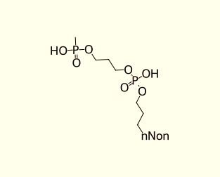 CCCCCCCCCCCCOP(=O)(O)OCCCOP(C)(=O)O